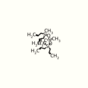 C=CC[Si](C)(CC=C)O[Si](C)(C)O[Si](C)(CC=C)CC=C